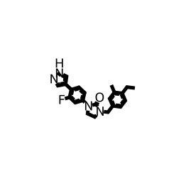 CCc1ccc(CN2CCN(c3ccc(-c4cn[nH]c4)c(F)c3)C2=O)cc1C